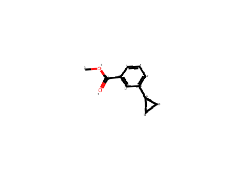 COC(=O)c1c[c]cc(C2CC2)c1